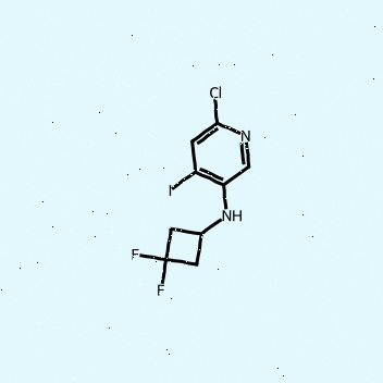 FC1(F)CC(Nc2cnc(Cl)cc2I)C1